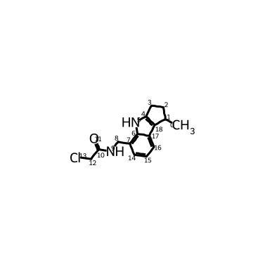 CC1CCc2[nH]c3c(CNC(=O)CCl)cccc3c21